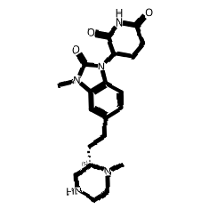 CN1CCNC[C@@H]1CCc1ccc2c(c1)n(C)c(=O)n2C1CCC(=O)NC1=O